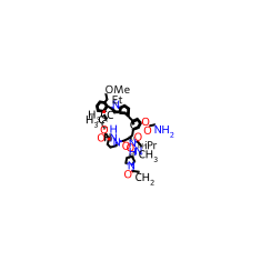 C=CC(=O)N1CC[C@H](C(=O)N(C)[C@H](C(=O)N[C@H]2Cc3cc(OC(=O)CN)cc(c3)-c3ccc4c(c3)c(c(-c3ccccc3CCOC)n4CC)CC(C)(C)COC(=O)[C@@H]3CCCN(N3)C2=O)C(C)C)C1